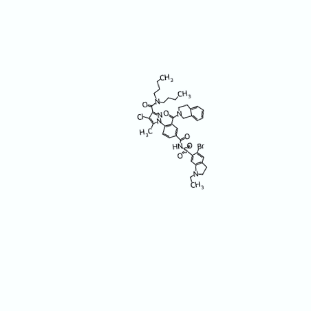 CCCCN(CCCC)C(=O)c1nn(-c2ccc(C(=O)NS(=O)(=O)c3cc4c(cc3Br)CCN4CC)cc2C(=O)N2CCc3ccccc3C2)c(C)c1Cl